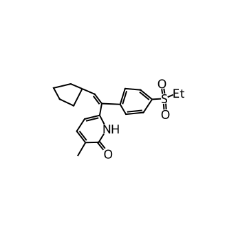 CCS(=O)(=O)c1ccc(C(=CC2CCCC2)c2ccc(C)c(=O)[nH]2)cc1